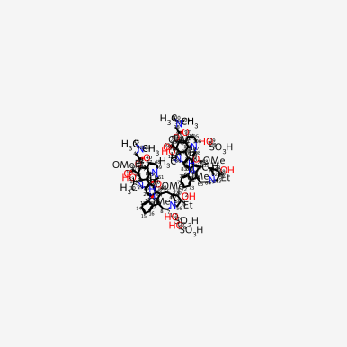 CC[C@]1(O)C[C@@H]2CN(CCc3c([nH]c4ccccc34)[C@@](C(=O)OC)(c3cc4c(cc3OC)N(C)[C@H]3[C@@](O)(C(=O)OC)[C@H](OC(=O)CN(C)C)[C@]5(CC)C=CCN6CC[C@]43[C@@H]65)C2)C1.CC[C@]1(O)C[C@@H]2CN(CCc3c([nH]c4ccccc34)[C@@](C(=O)OC)(c3cc4c(cc3OC)N(C)[C@H]3[C@@](O)(C(=O)OC)[C@H](OC(=O)CN(C)C)[C@]5(CC)C=CCN6CC[C@]43[C@@H]65)C2)C1.O=S(=O)(O)O.O=S(=O)(O)O.O=S(=O)(O)O